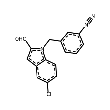 N#[N+]c1cccc(Cn2c(C=O)cc3cc(Cl)ccc32)c1